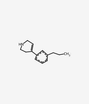 CCCc1cccc(C2=CCNCC2)c1